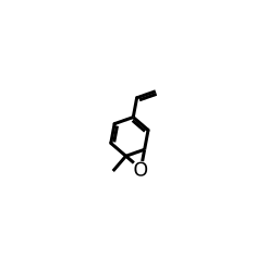 C=CC1=CC2OC2(C)C=C1